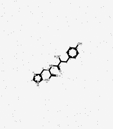 NC(Cc1ccc(O)cc1)C(=O)N[C@H](Cc1c[nH]cn1)C(=O)O